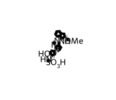 COC[C@H]1Cc2ccccc2[C@H]1Nc1ncnc2c1ccn2[C@H]1C[C@H](CNS(=O)(=O)O)[C@H](O)C1